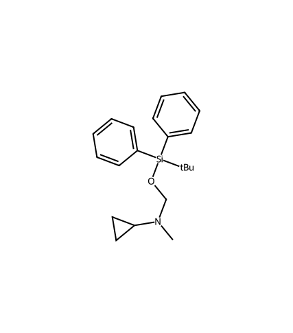 CN(CO[Si](c1ccccc1)(c1ccccc1)C(C)(C)C)C1CC1